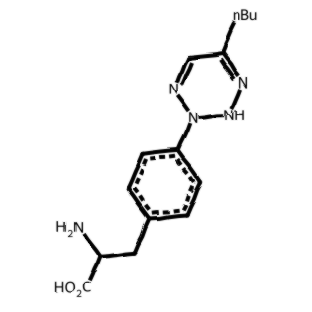 CCCCC1=NNN(c2ccc(CC(N)C(=O)O)cc2)N=C1